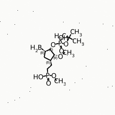 B[C@@H]1C[C@H](CCP(=O)(O)OC)[C@@H](OC)[C@H]1OP(=O)(O)OC(C)(C)C